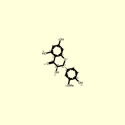 COc1cc([C@H]2Oc3cc(O)cc(O)c3C(=O)[C@@H]2O)ccc1O